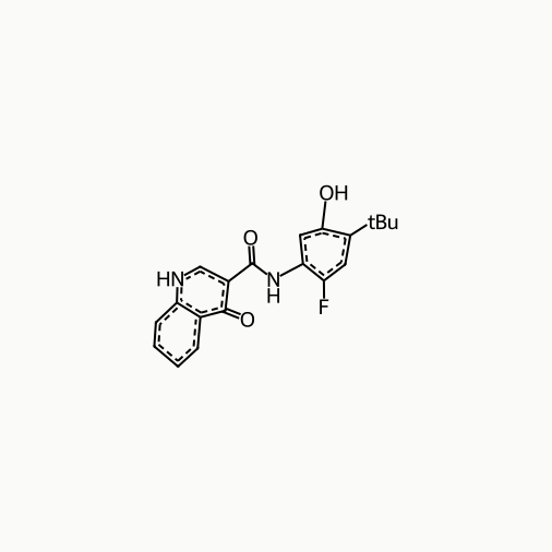 CC(C)(C)c1cc(F)c(NC(=O)c2c[nH]c3ccccc3c2=O)cc1O